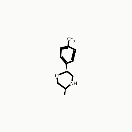 C[C@H]1CO[C@@H](c2ccc(C(F)(F)F)cc2)CN1